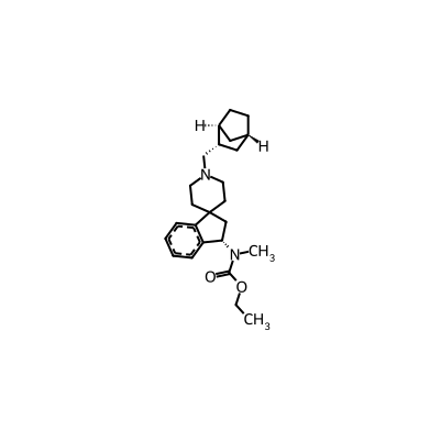 CCOC(=O)N(C)[C@H]1CC2(CCN(C[C@H]3C[C@H]4CC[C@H]3C4)CC2)c2ccccc21